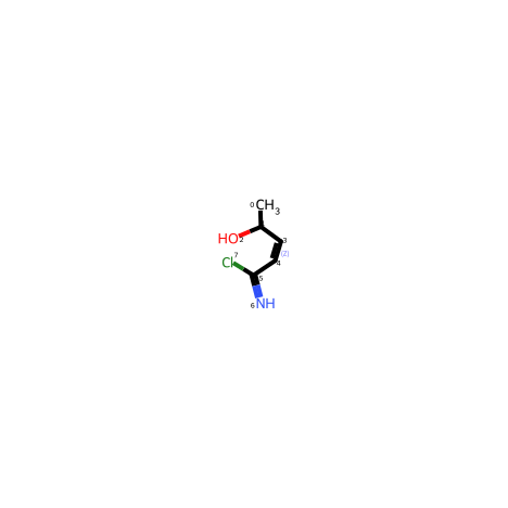 CC(O)/C=C\C(=N)Cl